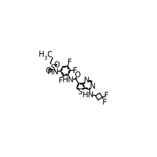 CCCS(=O)(=O)Nc1cc(F)c(F)c(NC(=O)c2csc3c(NC4CC(F)(F)C4)ncnc23)c1F